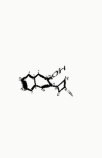 Oc1cc2ccccc2cc1C1CCC1